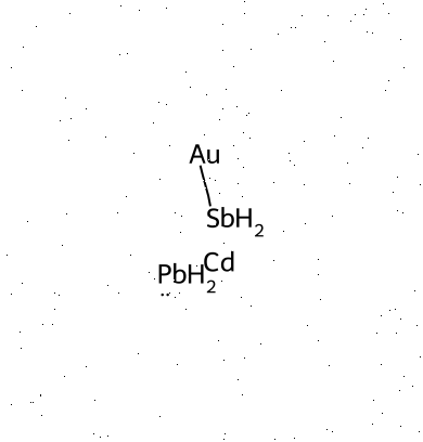 [Cd].[PbH2].[SbH2][Au]